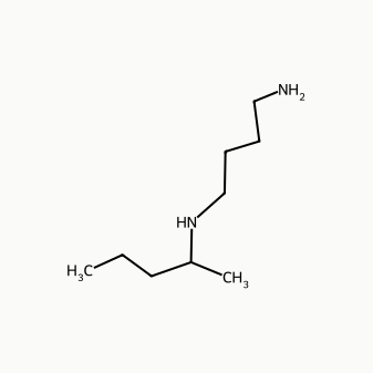 CCCC(C)NCCCCN